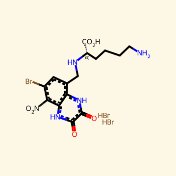 Br.Br.NCCCC[C@H](NCc1cc(Br)c([N+](=O)[O-])c2[nH]c(=O)c(=O)[nH]c12)C(=O)O